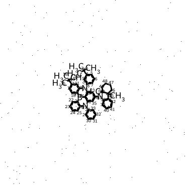 CC(C)(C)c1cccc(N2c3cc(C(C)(C)C)ccc3B3c4ccccc4N(c4ccccc4)c4cc(N5c6ccccc6C6(C)CCCCC56C)cc2c43)c1